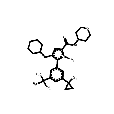 Cn1c(C(=O)NC2CCOCC2)cc(CC2CCCCC2)c1-c1cc(C(C)(C)C)cc(C2(C)CC2)c1